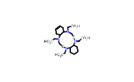 O=C(O)CN1CCN(CC(=O)O)C2CCCCC2N(CC(=O)O)CCN(CC(=O)O)C2CC=CCC21